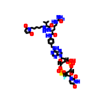 CC(C)C(NCCCCCN1C(=O)C=CC1=O)C(=O)NC(CCCNC(N)=O)C(=O)Nc1ccc(CNc2ncnc3c2ncn3[C@H]2C[C@@H]3OP(=O)(O)OC[C@H]4O[C@@H](n5ccc(=O)[nH]c5=O)[C@H](F)[C@@H]4OP(=O)(S)OC[C@H]3O2)cc1